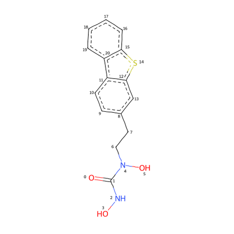 O=C(NO)N(O)CCc1ccc2c(c1)sc1ccccc12